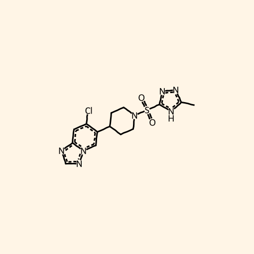 Cc1nnc(S(=O)(=O)N2CCC(c3cn4ncnc4cc3Cl)CC2)[nH]1